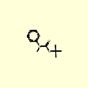 CN(C(=O)OC(C)(C)C)c1c[c]ccc1